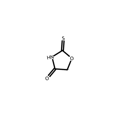 O=C1[CH]OC(=S)N1